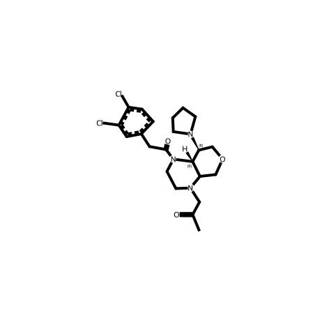 CC(=O)CN1CCN(C(=O)Cc2ccc(Cl)c(Cl)c2)[C@H]2C1COC[C@@H]2N1CCCC1